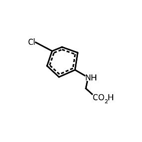 O=C(O)CNc1ccc(Cl)cc1